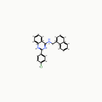 Clc1ccc(-c2nc(NCc3cccc4ccccc34)c3ccccc3n2)cc1